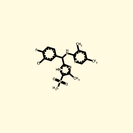 Cc1cc(C(F)(F)F)cnc1NC(c1ccc(F)c(Cl)c1)c1nc(C)c(S(C)(=O)=O)[nH]1